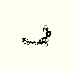 CC(C)(C)[Si](C)(C)OCCCOc1cc2c(=O)oc(-c3cccc(C(F)(F)F)c3)cn2c1